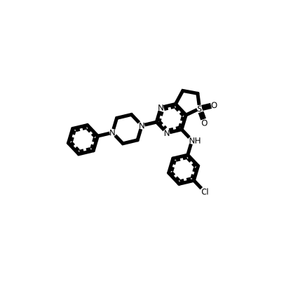 O=S1(=O)CCc2nc(N3CCN(c4ccccc4)CC3)nc(Nc3cccc(Cl)c3)c21